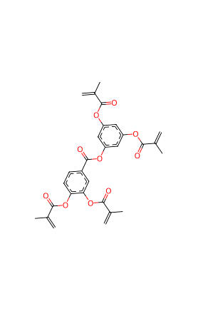 C=C(C)C(=O)Oc1cc(OC(=O)C(=C)C)cc(OC(=O)c2ccc(OC(=O)C(=C)C)c(OC(=O)C(=C)C)c2)c1